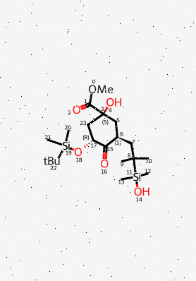 COC(=O)[C@]1(O)C[C@@H](CC(C)(C)[Si](C)(C)O)C(=O)[C@H](O[Si](C)(C)C(C)(C)C)C1